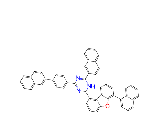 c1ccc2cc(C3=NC(c4ccc(-c5ccc6ccccc6c5)cc4)=NC(c4cccc5oc6c(-c7cccc8ccccc78)cccc6c45)N3)ccc2c1